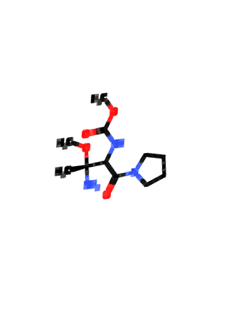 COC(=O)NC(C(=O)N1CCCC1)[C@](C)(N)OC